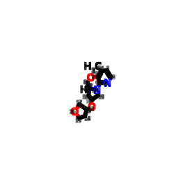 Cc1ccnc2c1OC[C@@H]1C[C@H](O[C@H]3CCOC3)CN21